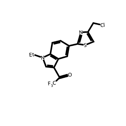 CCn1cc(C(=O)C(F)(F)F)c2cc(-c3nc(CCl)cs3)ccc21